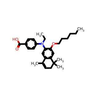 CCCCCCOc1cc2c(cc1N(CC)c1ccc(C(=O)O)cc1)C(C)=CCC2(C)C